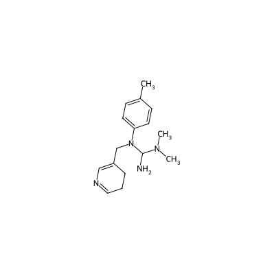 Cc1ccc(N(CC2=CN=CCC2)C(N)N(C)C)cc1